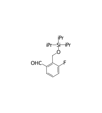 CC(C)[Si](OCc1c(F)cccc1C=O)(C(C)C)C(C)C